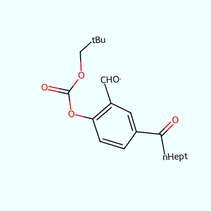 CCCCCCCC(=O)c1ccc(OC(=O)OCC(C)(C)C)c([C]=O)c1